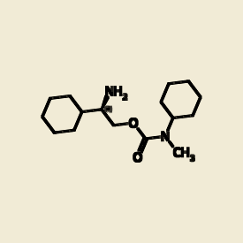 CN(C(=O)OC[C@H](N)C1CCCCC1)C1CCCCC1